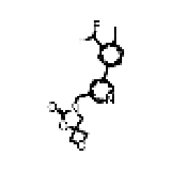 O=C1OC2(COC2)CN1Cc1cncc(-c2ccc(F)c(C(F)F)c2)c1